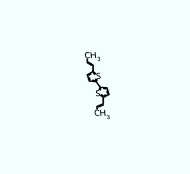 C/C=C/c1ccc(-c2ccc(/C=C/C)s2)s1